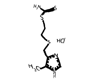 Cc1[nH]cnc1CSCCSC(N)=S.Cl